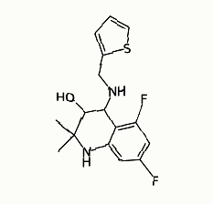 CC1(C)Nc2cc(F)cc(F)c2C(NCc2cccs2)C1O